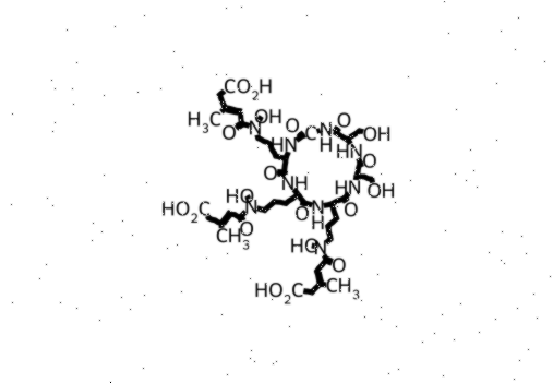 C/C(=C\C(=O)N(O)CCCC1NC(=O)CNC(=O)C(CO)NC(=O)C(CO)NC(=O)C(CCCN(O)C(=O)/C=C(\C)CC(=O)O)NC(=O)C(CCCN(O)C(=O)/C=C(\C)CC(=O)O)NC1=O)CC(=O)O